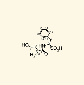 CC(CCO)C(=O)NC(Cc1ccccc1)C(=O)O